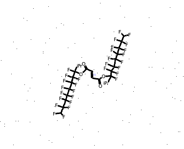 CC(C)C(F)(OC(=O)/C=C/C(=O)OC(F)(C(C)C)C(F)(F)C(F)(F)C(F)(F)C(F)(F)C(F)(F)C(F)(F)C(F)F)C(F)(F)C(F)(F)C(F)(F)C(F)(F)C(F)(F)C(F)(F)C(F)F